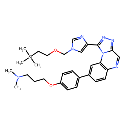 CN(C)CCCOc1ccc(-c2ccc3ncc4nnc(-c5cn(COCC[Si](C)(C)C)cn5)n4c3c2)cc1